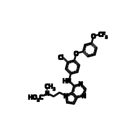 CN(CCn1ccc2ncnc(Nc3ccc(Oc4cccc(OC(F)(F)F)c4)c(Cl)c3)c21)C(=O)O